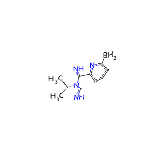 Bc1cccc(C(=N)N(C=N)C(C)C)n1